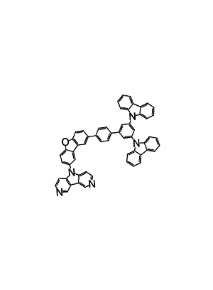 c1ccc2c(c1)c1ccccc1n2-c1cc(-c2ccc(-c3ccc4oc5ccc(-n6c7ccncc7c7cnccc76)cc5c4c3)cc2)cc(-n2c3ccccc3c3ccccc32)c1